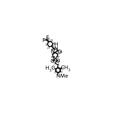 CNc1cc(C)c(CCS(=O)(=O)N2CCC3(CC2)N=C(C2CCC(=C(F)F)CC2)NC3=O)c(C)c1